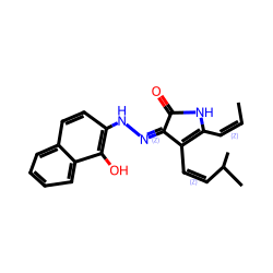 C/C=C\C1=C(/C=C\C(C)C)C(=N/Nc2ccc3ccccc3c2O)/C(=O)N1